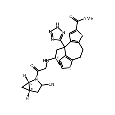 CNC(=O)c1cc2c(s1)CCc1sccc1C2(C[C@@H](C)NCC(=O)N1C(C#N)C[C@@H]2C[C@@H]21)c1nn[nH]n1